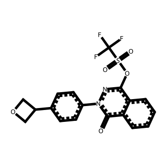 O=c1c2ccccc2c(OS(=O)(=O)C(F)(F)F)nn1-c1ccc(C2COC2)cc1